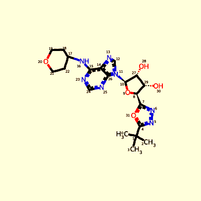 CC(C)(C)c1nnc([C@H]2O[C@@H](n3cnc4c(NC5CCOCC5)ncnc43)[C@H](O)[C@@H]2O)o1